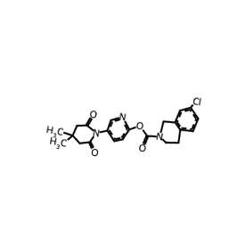 CC1(C)CC(=O)N(c2ccc(OC(=O)N3CCc4ccc(Cl)cc4C3)nc2)C(=O)C1